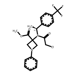 COC(=O)C1(N(C(=O)CCl)[C@@H](C)c2ccc(C(F)(F)F)cc2)CN(c2ccccc2)C1